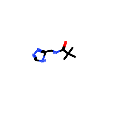 CC(C)(C)C(=O)NCc1nnc[nH]1